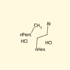 CCCCCC.CCCCCCC[CH2][Al].Cl.Cl